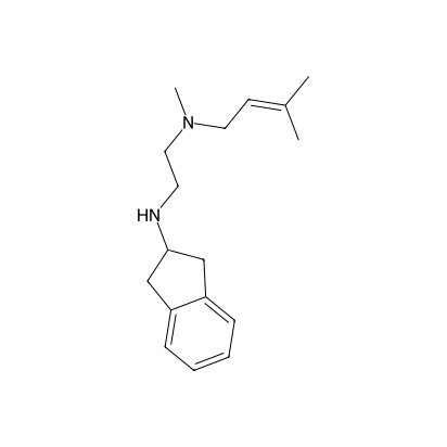 CC(C)=CCN(C)CCNC1Cc2ccccc2C1